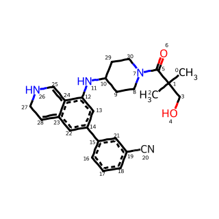 CC(C)(CO)C(=O)N1CCC(Nc2cc(-c3cccc(C#N)c3)cc3c2=CNCC=3)CC1